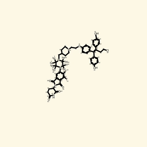 [2H]C1([2H])N(CC2CCN(CCOc3ccc(C(=C(CCCl)c4ccc(O)cc4)c4ccc(O)cc4)cc3)CC2)C([2H])([2H])C([2H])([2H])N(c2cc3c(c(F)c2F)C(=O)N(C2CCC(=O)NC2=O)C3=O)C1([2H])[2H]